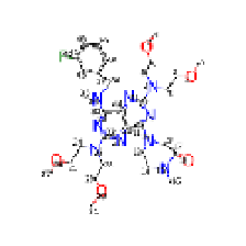 COCCN(CCOC)c1nc(N2CCN(C)C(=O)C2)c2nc(N(CCOC)CCOC)nc(N(C)Cc3cccc(F)c3)c2n1